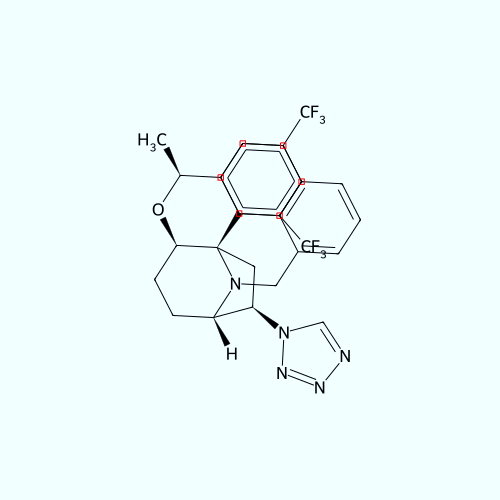 C[C@H](O[C@@H]1CC[C@H]2[C@H](n3cnnn3)C[C@]1(c1ccccc1)N2Cc1ccccc1)c1cc(C(F)(F)F)cc(C(F)(F)F)c1